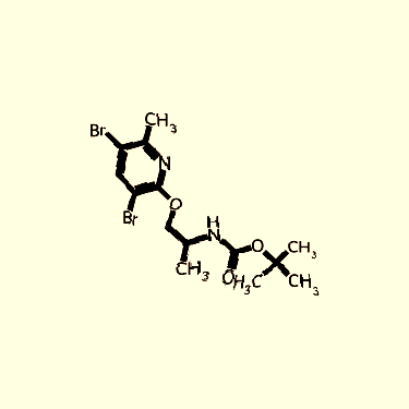 Cc1nc(OCC(C)NC(=O)OC(C)(C)C)c(Br)cc1Br